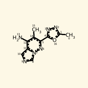 Cc1nnc(-c2nn3cncc3c(N)c2C)o1